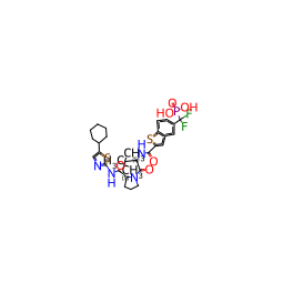 CC(C)(C)[C@H](NC(=O)c1cc2cc(C(F)(F)P(=O)(O)O)ccc2s1)C(=O)N1CCC[C@H]1C(=O)Nc1ncc(C2CCCCC2)s1